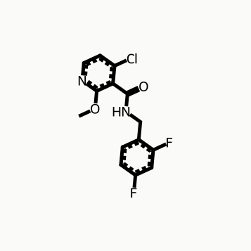 COc1nccc(Cl)c1C(=O)NCc1ccc(F)cc1F